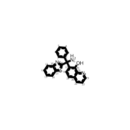 NC(c1ccccc1)(c1nc2ccccc2s1)c1ccc2cccnc2c1O